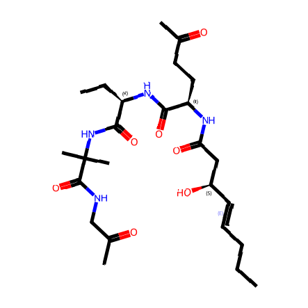 CCC/C=C/[C@@H](O)CC(=O)N[C@H](CCC(C)=O)C(=O)N[C@H](CC)C(=O)NC(C)(C)C(=O)NCC(C)=O